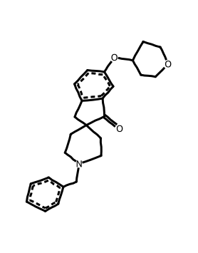 O=C1c2cc(OC3CCOCC3)ccc2CC12CCN(Cc1ccccc1)CC2